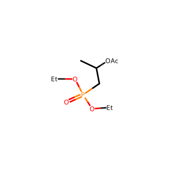 CCOP(=O)(CC(C)OC(C)=O)OCC